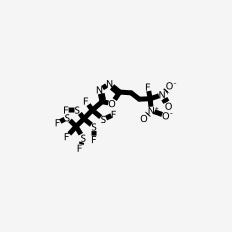 O=[N+]([O-])C(F)(CCc1nnc(C(F)(SF)C(SF)(SF)C(F)(SF)SF)o1)[N+](=O)[O-]